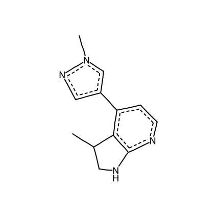 CC1CNc2nccc(-c3cnn(C)c3)c21